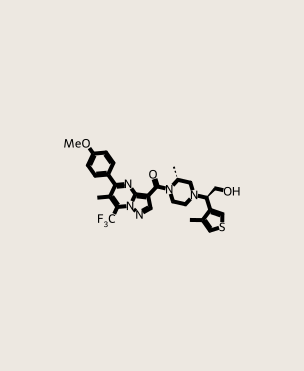 COc1ccc(-c2nc3c(C(=O)N4CCN([C@@H](CO)c5cscc5C)C[C@H]4C)cnn3c(C(F)(F)F)c2C)cc1